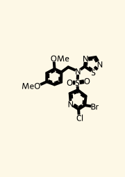 COc1ccc(CN(c2ncns2)S(=O)(=O)c2cnc(Cl)c(Br)c2)c(OC)c1